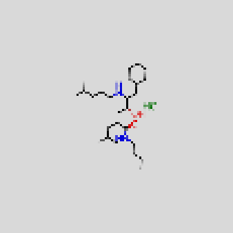 CCCCNC(=O)C(CC(C)C)CC(O)C(CC1CCCCC1)NCCCC(C)C.Cl